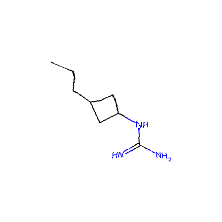 CCCC1CC(NC(=N)N)C1